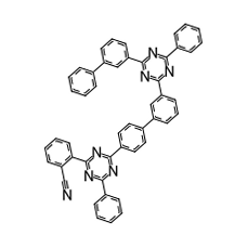 N#Cc1ccccc1-c1nc(-c2ccccc2)nc(-c2ccc(-c3cccc(-c4nc(-c5ccccc5)nc(-c5cccc(-c6ccccc6)c5)n4)c3)cc2)n1